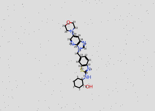 O[C@@H]1CCCC[C@H]1Nc1nc2ccc(Cn3cnc4cc(N5CCOCC5)cnc43)cc2s1